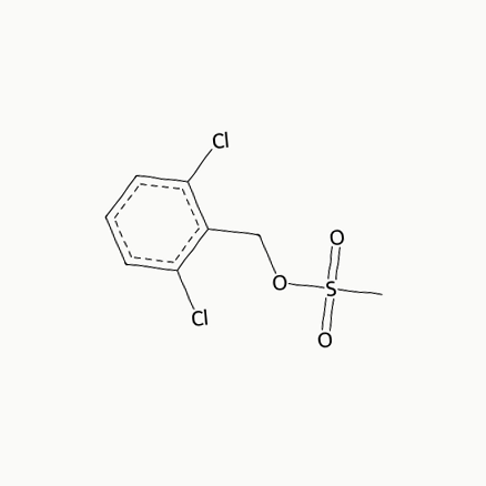 CS(=O)(=O)OCc1c(Cl)cccc1Cl